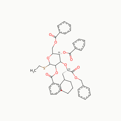 CCSC1OC(COC(=O)c2ccccc2)[C@H](OC(=O)c2ccccc2)C(O[C@@H](CC2CCCCC2)C(=O)OCc2ccccc2)C1OC(=O)c1ccccc1